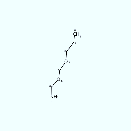 CCCOCOC[NH]